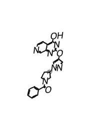 O=C(c1ccccc1)N1CC[C@@H](n2cc(Oc3nc(O)c4ccncc4n3)cn2)C1